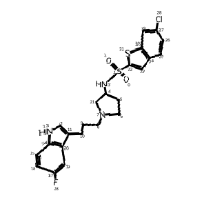 O=S(=O)(NC1CCN(CCCc2c[nH]c3ccc(F)cc23)C1)c1cc2ccc(Cl)cc2s1